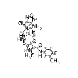 Cc1cc(NC(=O)c2c3c(cn2C)SN[C@H]2CN(C(=O)c4nonc4N)C[C@H]2CO3)ccc1F